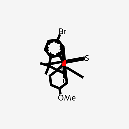 COC1CCC2(CC1)C(C)(C)c1ccc(Br)cc1C21NC(=S)N(C)C1=O